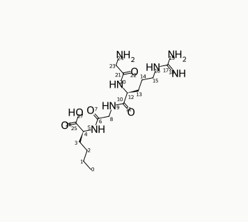 CCCC[C@H](NC(=O)CNC(=O)[C@H](CCCNC(=N)N)NC(=O)CN)C(=O)O